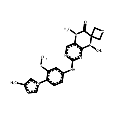 COc1cc(Nc2ncc3c(n2)N(C)C2(COC2)C(=O)N3C)ccc1-n1cnc(C)c1